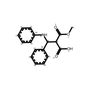 COC(=O)C(C(=O)O)C(Nc1ccccc1)c1ccccc1